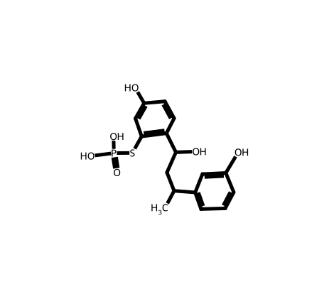 CC(CC(O)c1ccc(O)cc1SP(=O)(O)O)c1cccc(O)c1